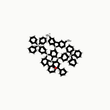 CC(C)(C)c1ccc2c(c1)c1cc(C(C)(C)C)ccc1n2-c1cc2c3c(c1)N(c1ccc([Si](c4ccccc4)(c4ccccc4)c4ccccc4)cc1)c1cccc(-c4ccccc4)c1B3c1ccc(-c3ccccc3)cc1N2c1ccc([Si](c2ccccc2)(c2ccccc2)c2ccccc2)cc1